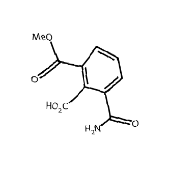 COC(=O)c1cccc(C(N)=O)c1C(=O)O